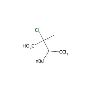 CCCCC(C(Cl)(Cl)Cl)C(C)(Cl)C(=O)O